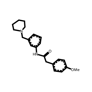 COc1ccc(CC(=O)Nc2cccc(CN3CCCCC3)c2)cc1